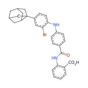 O=C(Nc1ccccc1C(=O)O)c1ccc(Nc2ccc(C34CC5CC(CC3C5)C4)cc2Br)cc1